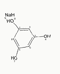 Oc1cc(O)cc(O)c1.[NaH]